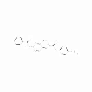 O=C(NC1N=CC2=CN(C(=O)Cc3ccc(C(F)(F)F)cc3)CCC2=N1)c1ccccc1